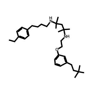 CCc1ccc(CCCCNC(C)(C)CC(C)(C)NCCOc2cccc(CCC(C)(C)C)c2)cc1